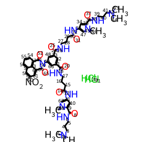 CN(C)CCCNC(=O)c1cc(NC(=O)CCCNC(=O)c2cc(C(=O)NCCCC(=O)Nc3cc(C(=O)NCCCN(C)C)n(C)c3)cc(N3C(=O)c4cccc5cc([N+](=O)[O-])cc(c45)C3=O)c2)cn1C.Cl.Cl